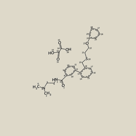 CN(C)CCNC(=O)c1cccc(-c2ccccc2CSCCOc2ccccc2)c1.O=C(O)C(=O)O